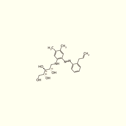 C=CCc1ccccc1N=Nc1cc(C)c(C)cc1NC[C@H](O)[C@H](O)[C@H](O)CO